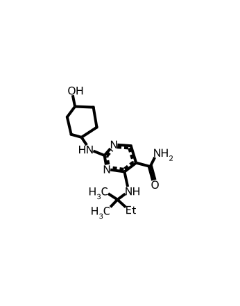 CCC(C)(C)Nc1nc(NC2CCC(O)CC2)ncc1C(N)=O